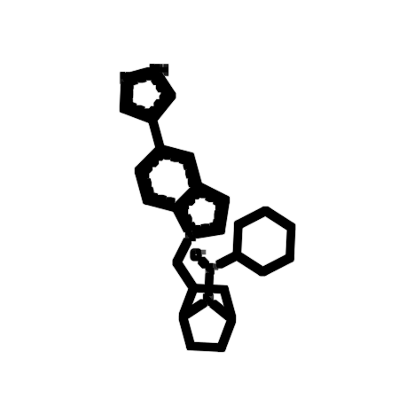 [O-][S+](C1CCCCC1)N1C2CCC1C(Cn1ccc3cc(-c4cn[nH]c4)ccc31)C2